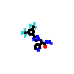 NC(=O)/C(=C/n1cnc(-c2cc(C(F)(F)F)cc(C(F)(F)F)c2)n1)c1cccnc1